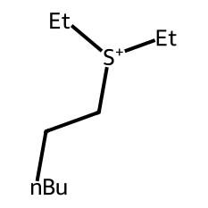 CCCCCC[S+](CC)CC